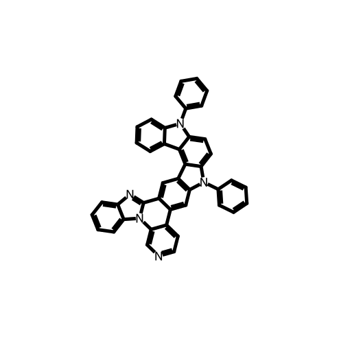 c1ccc(-n2c3ccccc3c3c4c5cc6c(cc5n(-c5ccccc5)c4ccc32)c2ccncc2n2c3ccccc3nc62)cc1